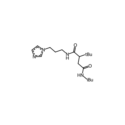 CCC(C)NC(=O)CC(C(=O)NCCCn1ccnc1)C(C)(C)C